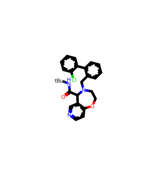 CC(C)(C)NC(=O)C1c2cnccc2OCCN1Cc1ccccc1-c1ccccc1Cl